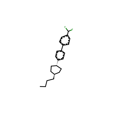 CCCC[C@H]1CC[C@H](c2ccc(-c3ccc(C(F)F)cc3)cc2)CC1